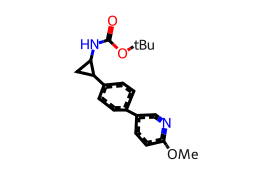 COc1ccc(-c2ccc(C3CC3NC(=O)OC(C)(C)C)cc2)cn1